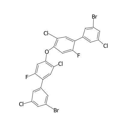 Fc1cc(Oc2cc(F)c(-c3cc(Cl)cc(Br)c3)cc2Cl)c(Cl)cc1-c1cc(Cl)cc(Br)c1